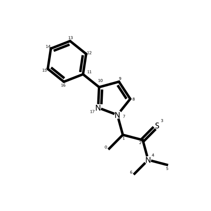 CC(C(=S)N(C)C)n1ccc(-c2ccccc2)n1